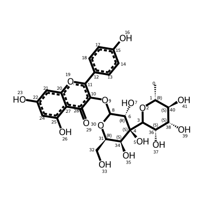 C[C@H]1OC([C@@]2(O)[C@@H](O)C(Oc3c(-c4ccc(O)cc4)oc4cc(O)cc(O)c4c3=O)O[C@H](CO)[C@@H]2O)[C@@H](O)[C@@H](O)[C@@H]1O